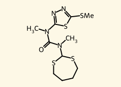 CSc1nnc(N(C)C(=O)N(C)C2SCCCCS2)s1